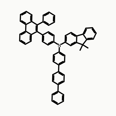 CC1(C)c2ccccc2-c2ccc(N(c3ccc(-c4ccc(-c5ccccc5)cc4)cc3)c3ccc(-c4c(-c5ccccc5)c5ccccc5c5ccccc45)cc3)cc21